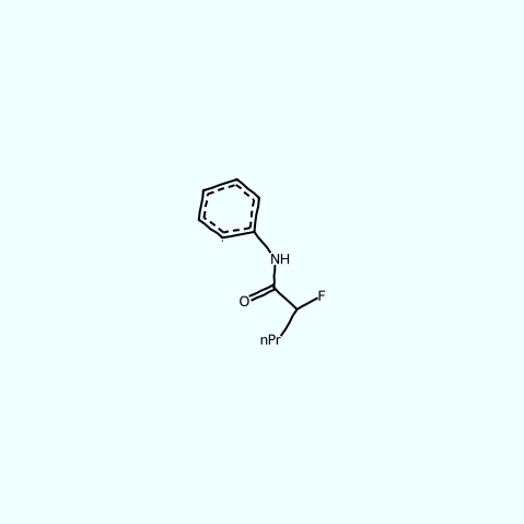 CCCC(F)C(=O)Nc1[c]cccc1